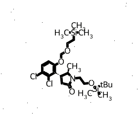 C[C@@H]1[C@@H](c2c(OCOCC[Si](C)(C)C)ccc(Cl)c2Cl)CC(=O)N1CCO[Si](C)(C)C(C)(C)C